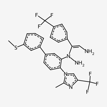 CSc1cccc(-c2ccc(-n3cc(C(F)(F)F)nc3C)c(N(N)/C(=C\N)c3ccc(C(F)(F)F)cc3)c2)c1